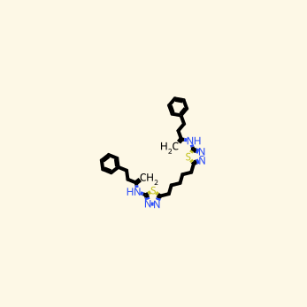 C=C(CCc1ccccc1)Nc1nnc(CCCCCc2nnc(NC(=C)CCc3ccccc3)s2)s1